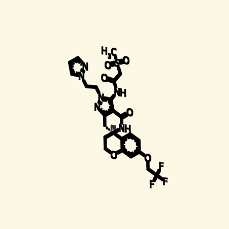 CS(=O)(=O)CC(=O)Nc1c2c(nn1CCn1cccn1)C[C@]1(CCOc3cc(OCC(F)(F)F)ccc31)NC2=O